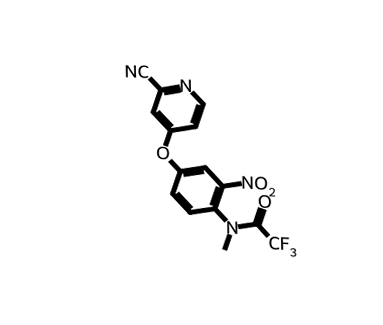 CN(C(=O)C(F)(F)F)c1ccc(Oc2ccnc(C#N)c2)cc1[N+](=O)[O-]